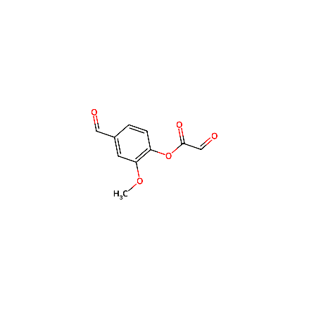 COc1cc(C=O)ccc1OC(=O)C=O